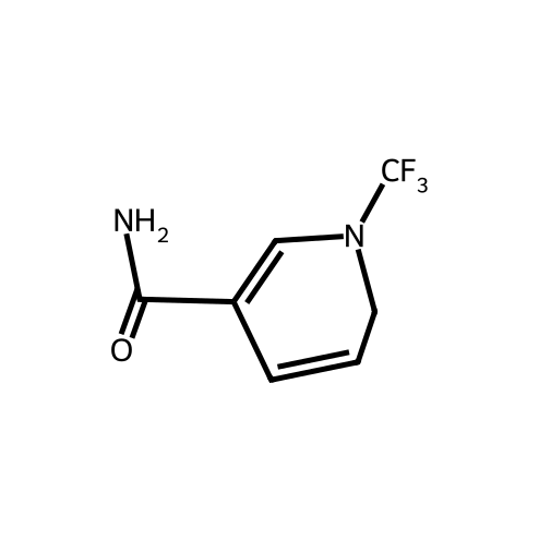 NC(=O)C1=CN(C(F)(F)F)CC=C1